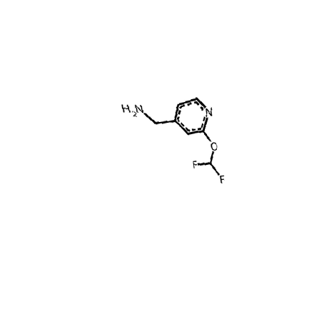 NCc1ccnc(OC(F)F)c1